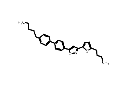 CCCCCc1ccc(-c2ccc(-c3cc(-c4ccc(CCCC)s4)no3)cc2)cc1